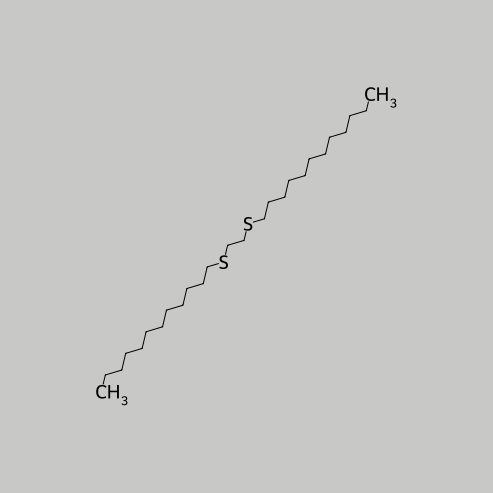 CCCCCCCCCCCCSCCSCCCCCCCCCCCC